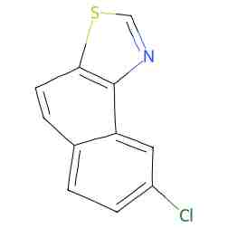 Clc1ccc2ccc3scnc3c2c1